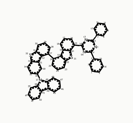 c1ccc(-c2nc(-c3ccccc3)nc(-c3cccc4c3sc3cccc(-c5cccc6sc7ccc(-n8c9ccccc9c9ccccc98)cc7c56)c34)n2)cc1